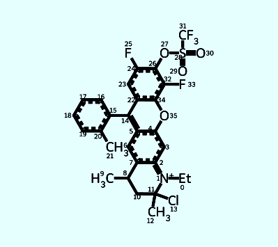 CC[N+]1=c2cc3c(cc2C(C)CC1(C)Cl)=C(c1ccccc1C)c1cc(F)c(OS(=O)(=O)C(F)(F)F)c(F)c1O3